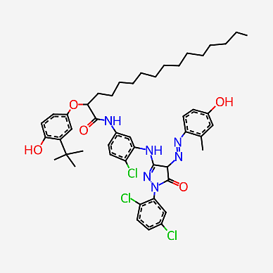 CCCCCCCCCCCCCCC(Oc1ccc(O)c(C(C)(C)C)c1)C(=O)Nc1ccc(Cl)c(NC2=NN(c3cc(Cl)ccc3Cl)C(=O)C2N=Nc2ccc(O)cc2C)c1